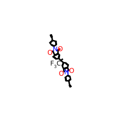 C#Cc1ccc(N2C(=O)c3ccc(C(C)(c4ccc5c(c4)C(=O)N(c4ccc(C#C)cc4)C5=O)C(F)(F)F)cc3C2=O)cc1